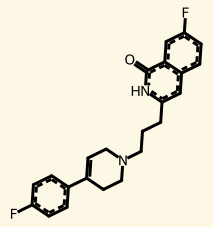 O=c1[nH]c(CCCN2CC=C(c3ccc(F)cc3)CC2)cc2ccc(F)cc12